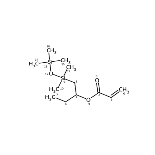 C=CC(=O)OC(CC)C[Si](C)(C)O[Si](C)(C)C